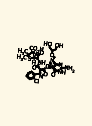 Cc1onc(-c2ccccc2Cl)c1C(=O)N[C@@H]1C(=O)N2[C@@H]1SC(C)(C)[C@@H]2C(=O)O.Nc1nc2c(ncn2COC(CO)CO)c(=O)[nH]1